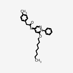 CCCCCCCCOc1cc(=NC(=O)Cc2ccc(C)cc2)cnn1-c1ccccc1